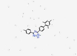 CN/C(=N\C(=N)c1ccc(C)cc1)c1ccc(-c2c(C)cc(C)cc2C)cc1